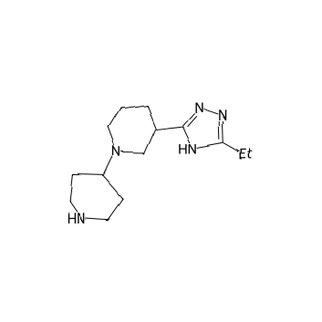 CCc1nnc(C2CCCN(C3CCNCC3)C2)[nH]1